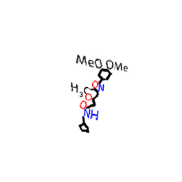 COc1ccc(-c2nc(CC(=O)CC(=O)NCC3=CC=CC3)c(C)o2)cc1OC